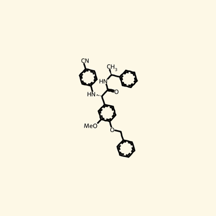 COc1cc([C@H](Nc2ccc(C#N)cc2)C(=O)N[C@@H](C)c2ccccc2)ccc1OCc1ccccc1